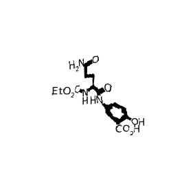 CCOC(=O)N[C@@H](CCC(N)=O)C(=O)Nc1ccc(O)c(C(=O)O)c1